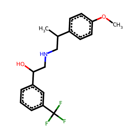 COc1ccc(C(C)CNCC(O)c2cccc(C(F)(F)F)c2)cc1